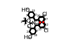 CC(C)(C)OC(=O)N(C(c1cccc(Cl)c1)C1CCC(O)CC1)C(c1cccc(Cl)c1)C1CCC(O)CC1